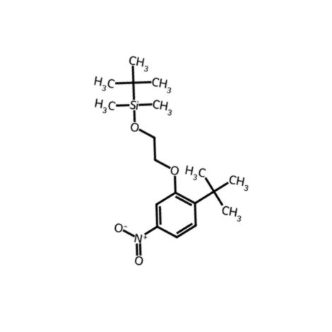 CC(C)(C)c1ccc([N+](=O)[O-])cc1OCCO[Si](C)(C)C(C)(C)C